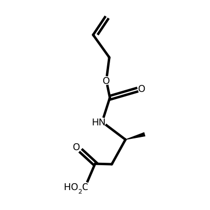 C=CCOC(=O)N[C@@H](C)CC(=O)C(=O)O